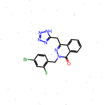 O=c1c2ccccc2c(Cc2nnn[nH]2)nn1Cc1ccc(Br)cc1F